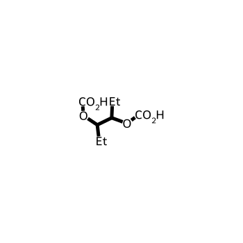 CCC(OC(=O)O)C(CC)OC(=O)O